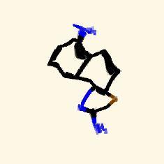 Nc1nc2c(ccc3c(N)cccc32)s1